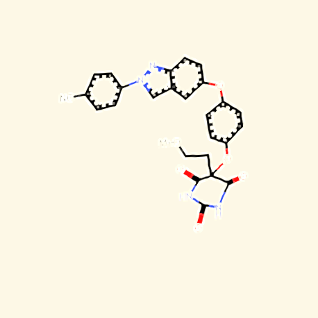 COCCC1(Oc2ccc(Oc3ccc4nn(-c5ccc(C#N)cc5)cc4c3)cc2)C(=O)NC(=O)NC1=O